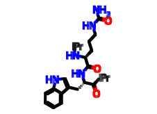 CC(C)N[C@@H](CCCNC(N)=O)C(=O)N[C@@H](Cc1c[nH]c2ccccc12)C(=O)C(C)C